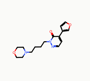 O=c1c(-c2ccoc2)ccnn1CCCCN1CCOCC1